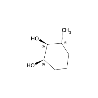 C[C@@H]1CCC[C@@H](O)[C@H]1O